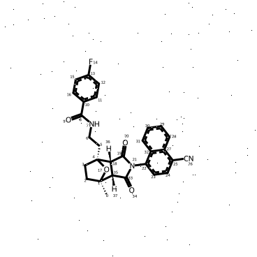 C[C@]12CC[C@](CCNC(=O)c3ccc(F)cc3)(O1)[C@@H]1C(=O)N(c3ccc(C#N)c4ccccc34)C(=O)[C@@H]12